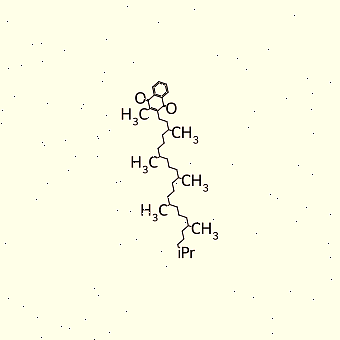 CC1=C(CCC(C)CCCC(C)CCCC(C)CCCC(C)CCCC(C)CCCC(C)C)C(=O)c2ccccc2C1=O